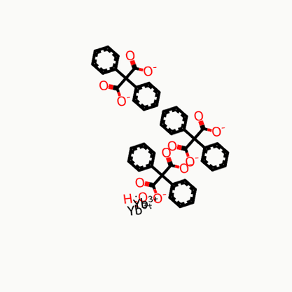 O.O=C([O-])C(C(=O)[O-])(c1ccccc1)c1ccccc1.O=C([O-])C(C(=O)[O-])(c1ccccc1)c1ccccc1.O=C([O-])C(C(=O)[O-])(c1ccccc1)c1ccccc1.[Yb+3].[Yb+3]